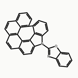 c1cc2c3c(c1)ccc1ccc4ccc5c(c6c-2cccc6n5-c2nc5ccccc5o2)c4c13